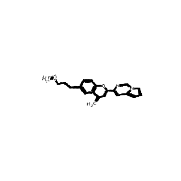 C=C1C=C(c2cc3cccn3cn2)Oc2ccc(CCCOC)cc21